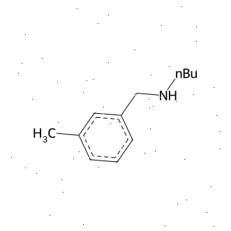 CCCCNCc1cccc(C)c1